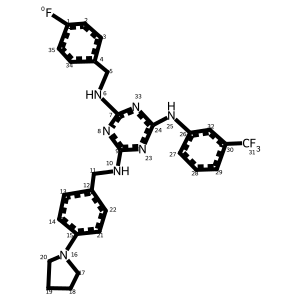 Fc1ccc(CNc2nc(NCc3ccc(N4CCCC4)cc3)nc(Nc3cccc(C(F)(F)F)c3)n2)cc1